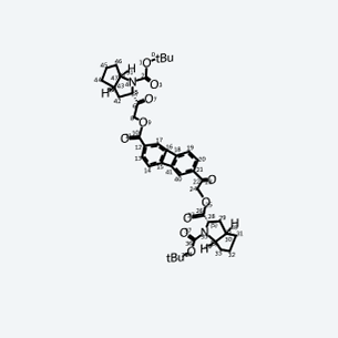 CC(C)(C)OC(=O)N1[C@H](C(=O)COC(=O)c2ccc3c(c2)-c2ccc(C(=O)COC(=O)[C@@H]4C[C@@H]5CCC[C@@H]5N4C(=O)OC(C)(C)C)cc2-3)C[C@@H]2CCC[C@@H]21